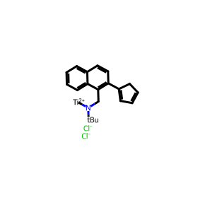 CC(C)(C)[N]([Ti+2])Cc1c(C2=CC=CC2)ccc2ccccc12.[Cl-].[Cl-]